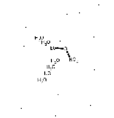 CCO[N+](=O)[O-].O.O.O.O.O.O